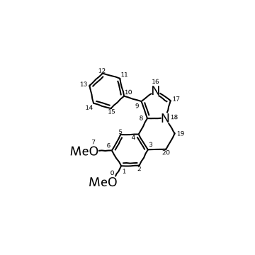 COc1cc2c(cc1OC)-c1c(-c3ccccc3)ncn1CC2